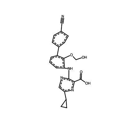 N#Cc1ccc(-c2cccc(Nc3ncc(C4CC4)nc3C(=O)O)c2OCO)cc1